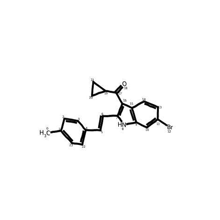 Cc1ccc(/C=C/c2[nH]c3cc(Br)ccc3c2C(=O)C2CC2)cc1